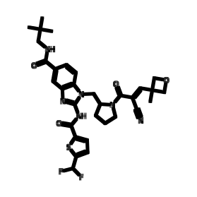 CC(C)(C)CNC(=O)c1ccc2c(c1)nc(NC(=O)c1ccc(C(F)F)s1)n2CC1CCCN1C(=O)C(C#N)=CC1(C)COC1